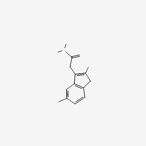 CC1=C(CC(=O)N(C)C)c2cc([N+](=O)[O-])ccc2C1